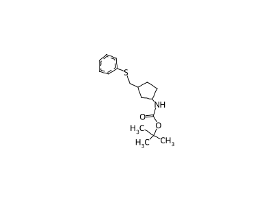 CC(C)(C)OC(=O)NC1CCC(CSc2ccccc2)C1